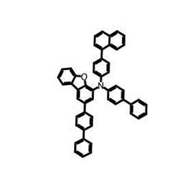 c1ccc(-c2ccc(-c3cc(N(c4ccc(-c5ccccc5)cc4)c4ccc(-c5cccc6ccccc56)cc4)c4oc5ccccc5c4c3)cc2)cc1